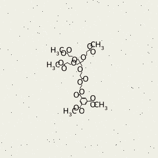 COC(=O)CCOCC(COCCC(=O)OC)(COCCC(=O)OC)COCCC(=O)OCCOC(=O)c1cc(C(=O)OC)cc(C(=O)OC)c1